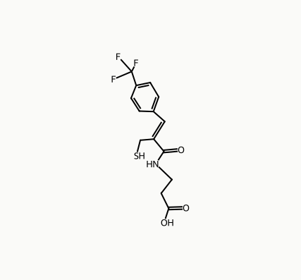 O=C(O)CCNC(=O)C(=Cc1ccc(C(F)(F)F)cc1)CS